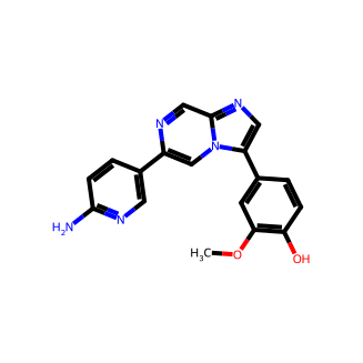 COc1cc(-c2cnc3cnc(-c4ccc(N)nc4)cn23)ccc1O